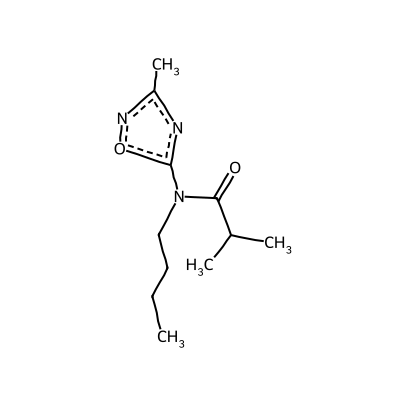 CCCCN(C(=O)C(C)C)c1nc(C)no1